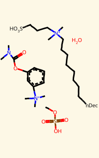 CCCCCCCCCCCCCCCCCC[N+](C)(C)CCCS(=O)(=O)O.CN(C)C(=O)Oc1cccc([N+](C)(C)C)c1.COS(=O)(=O)O.O